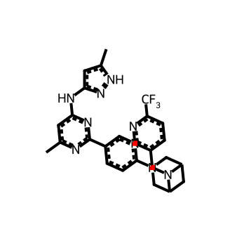 Cc1cc(Nc2cc(C)[nH]n2)nc(-c2ccc(N3CC4CC(C3)N4Cc3ccc(C(F)(F)F)nc3)nc2)n1